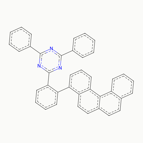 c1ccc(-c2nc(-c3ccccc3)nc(-c3ccccc3-c3cccc4c3ccc3ccc5ccccc5c34)n2)cc1